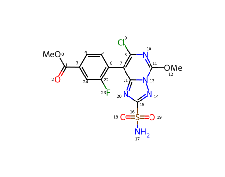 COC(=O)c1ccc(-c2c(Cl)nc(OC)n3nc(S(N)(=O)=O)nc23)c(F)c1